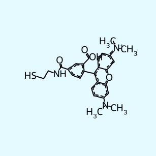 CN(C)c1ccc2c(-c3ccc(C(=O)NCCS)cc3C(=O)O)c3ccc(=[N+](C)C)cc-3oc2c1